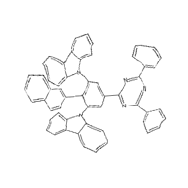 c1ccc(-c2nc(-c3ccccc3)nc(-c3cc(-n4c5ccccc5c5ccccc54)c(-c4ccc5ccccc5c4)c(-n4c5ccccc5c5ccccc54)c3)n2)cc1